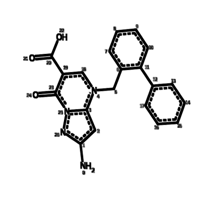 Nc1cc2n(Cc3ccccc3-c3ccccc3)cc(C(=O)O)c(=O)n2n1